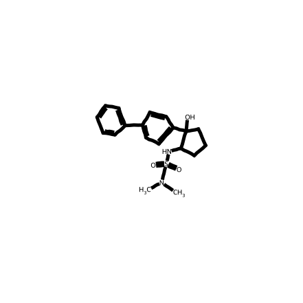 CN(C)S(=O)(=O)NC1CCCC1(O)c1ccc(-c2ccccc2)cc1